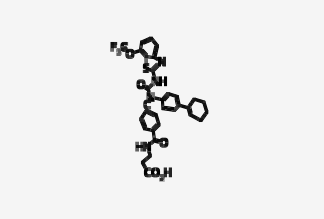 O=C(O)CCNC(=O)c1ccc(CN(C(=O)Nc2nc3cccc(OC(F)(F)F)c3s2)c2ccc(C3=CCCCC3)cc2)cc1